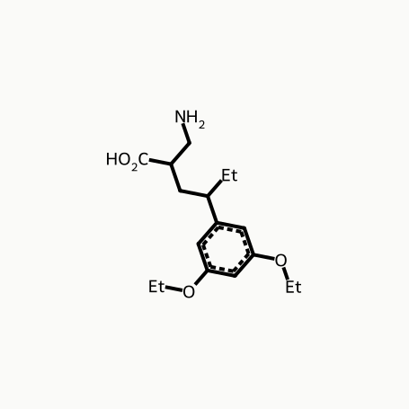 CCOc1cc(OCC)cc(C(CC)CC(CN)C(=O)O)c1